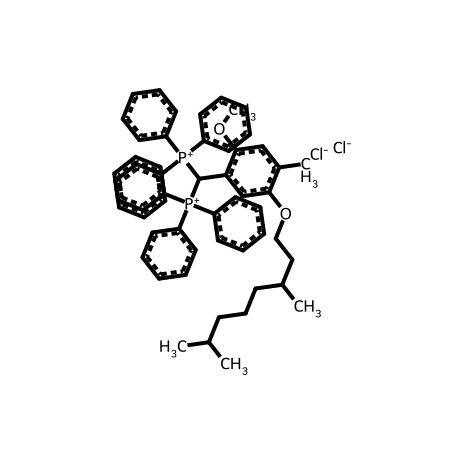 COc1cc(C)c(OCCC(C)CCCC(C)C)cc1C([P+](c1ccccc1)(c1ccccc1)c1ccccc1)[P+](c1ccccc1)(c1ccccc1)c1ccccc1.[Cl-].[Cl-]